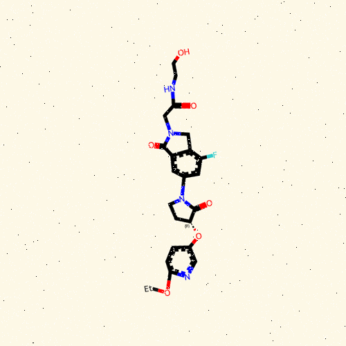 CCOc1ccc(O[C@@H]2CCN(c3cc(F)c4c(c3)C(=O)N(CC(=O)NCCO)C4)C2=O)cn1